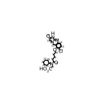 O=C(O)CN(C(=O)CCCCOc1c(Cl)ccc2c1CN1CC(=O)NC1=N2)C1CCCCC1